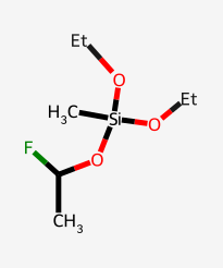 CCO[Si](C)(OCC)OC(C)F